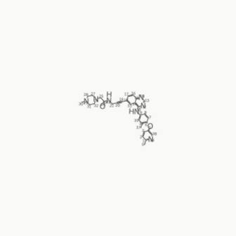 Cc1ccc(Oc2ccc(Nc3ncnc4ccc(C#CCNC(=O)CN5CCN(C)CC5)cc34)cc2C)cn1